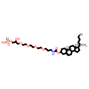 CCP(=O)(O)OCC(O)COCCOCCOCCOCCCNC(=O)OC1CC[C@@]2(C)C(=CCC3C4CCC([C@@H](C)CCCC(C)C)[C@@]4(C)CCC32)C1